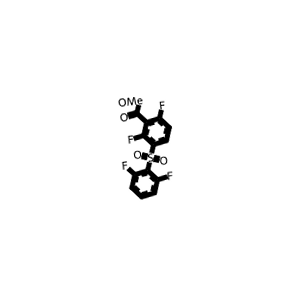 COC(=O)c1c(F)ccc(S(=O)(=O)c2c(F)cccc2F)c1F